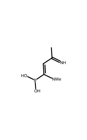 CN/C(=C\C(C)=N)B(O)O